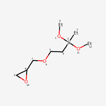 CCO[Si](CC)(CCOCC1CO1)OCC